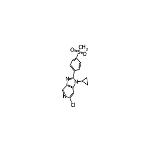 CS(=O)(=O)c1ccc(-c2nc3cnc(Cl)cc3n2C2CC2)cc1